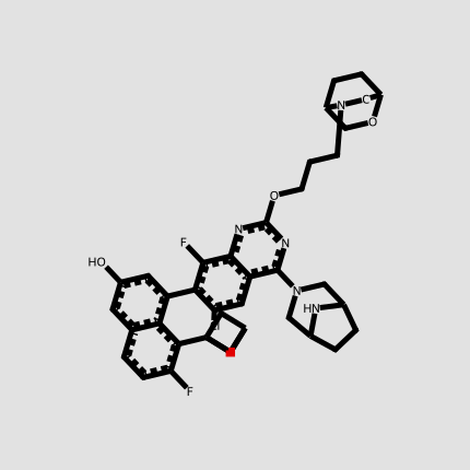 Oc1cc(-c2c(Cl)cc3c(N4CC5CCC(C4)N5)nc(OCCCN4CC5CCC4CO5)nc3c2F)c2c(C34CC(C3)C4)c(F)ccc2c1